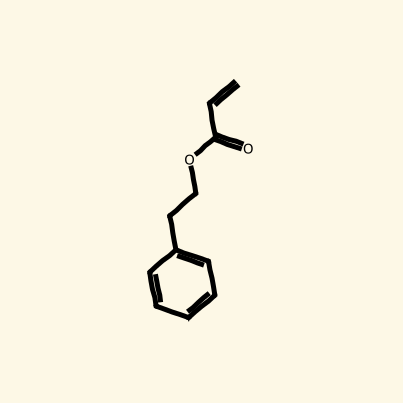 C=CC(=O)OCCc1cc[c]cc1